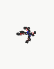 c1ccc2c(c1)oc1c(-c3ccc4c5c6c7ccc(-c8cccc9c8oc8ccccc89)cc7n7c8cc(-c9cccc%10c9oc9ccccc9%10)ccc8c(c8c9ccc(-c%10cccc%11c%10oc%10ccccc%10%11)cc9n(c4c3)c58)c67)cccc12